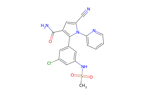 CS(=O)(=O)Nc1cc(Cl)cc(-c2c(C(N)=O)cc(C#N)n2-c2ccccn2)c1